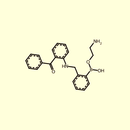 NCCOB(O)c1ccccc1CNc1ccccc1C(=O)c1ccccc1